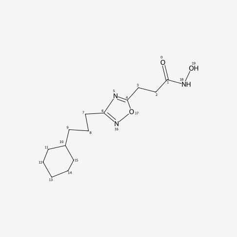 O=C(CCc1nc(CCCC2CCCCC2)no1)NO